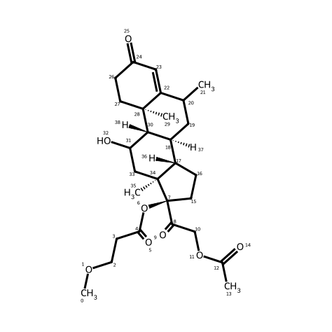 COCCC(=O)O[C@]1(C(=O)COC(C)=O)CC[C@H]2[C@@H]3CC(C)C4=CC(=O)CC[C@]4(C)[C@H]3C(O)C[C@@]21C